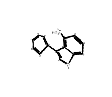 O=C(O)c1cccc2occ(-c3ccccc3)c12